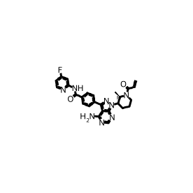 C=CC(=O)N1CCCC(n2nc(-c3ccc(C(=O)Nc4cc(F)ccn4)cc3)c3c(N)ncnc32)[C@H]1C